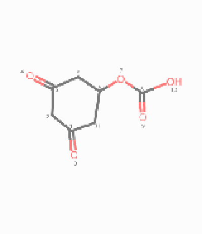 O=C1CC(=O)CC(OC(=O)O)C1